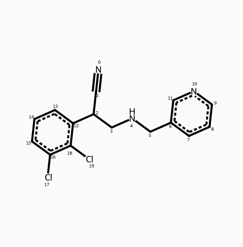 N#CC(CNCc1cccnc1)c1cccc(Cl)c1Cl